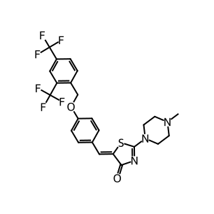 CN1CCN(C2=NC(=O)C(=Cc3ccc(OCc4ccc(C(F)(F)F)cc4C(F)(F)F)cc3)S2)CC1